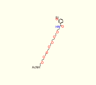 CCOc1cccc(C(=O)NCCOCCOCCOCCOCCOCCOCCOCCNC(C)=O)c1